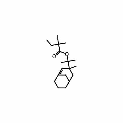 CCC(C)(I)C(=O)OC(C)(C)C1(C)C=C2CCCC(C2)C1